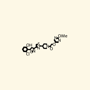 COc1ncc(OCC(=O)N2CCC(c3nc(C4=NOC(c5c(O)cccc5Cl)C4)cs3)CC2)cn1